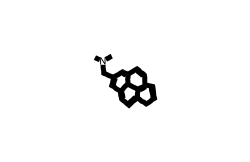 CN(C)CC1=CC2=CC=C3CC=CC4=C3C2C(=C1)C=C4